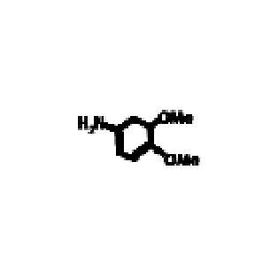 COC1=CC=C(N)CC1OC